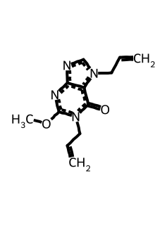 C=CCn1c(OC)nc2ncn(CC=C)c2c1=O